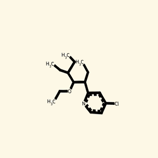 CCOC(C(CC)CC)C(CC)c1cc(Cl)ccn1